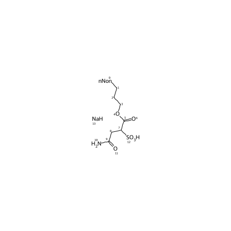 CCCCCCCCCCCCOC(=O)C(CC(N)=O)S(=O)(=O)O.[NaH]